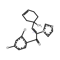 CC1(/C=C(/C(=O)c2ccc(Cl)cc2Cl)n2ccnc2)CC=CCC1